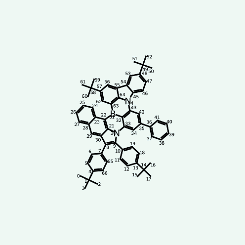 CC(C)(C)c1ccc(-c2c(-c3ccc(C(C)(C)C)cc3)n3c4c(c5ccccc5cc24)B2c4c-3cc(-c3ccccc3)cc4-n3c4ccc(C(C)(C)C)cc4c4cc(C(C)(C)C)cc2c43)cc1